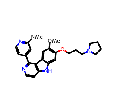 CNc1cc(-c2nccc3[nH]c4cc(OCCCN5CCCC5)c(OC)cc4c23)ccn1